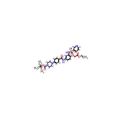 CCOC(=O)COc1ccc(NC(=O)c2ccc(N3CCN(C(=O)OC(C)(C)C)CC3)cc2)cc1NS(=O)(=O)c1cccnc1